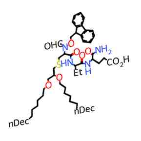 CCCCCCCCCCCCCCCCOCC(CSCC(C(=O)NC(CC)C(=O)NC(CCC(=O)O)C(N)=O)N(C=O)OCC1c2ccccc2-c2ccccc21)OCCCCCCCCCCCCCCCC